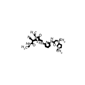 CCNC(=O)C(C#N)=c1sc(=CNc2cccc(NC(=O)CN(C)C3CCN(C)C3)n2)c(=O)n1CC